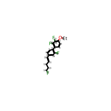 CCOc1ccc(-c2ccc(/C=C/CCCF)cc2F)c(F)c1F